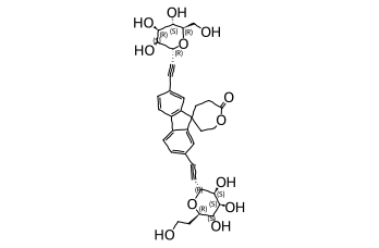 O=C1CCC2(CCO1)c1cc(C#C[C@H]3O[C@H](CO)[C@@H](O)[C@H](O)[C@@H]3O)ccc1-c1ccc(C#C[C@H]3O[C@H](CCO)[C@@H](O)[C@H](O)[C@@H]3O)cc12